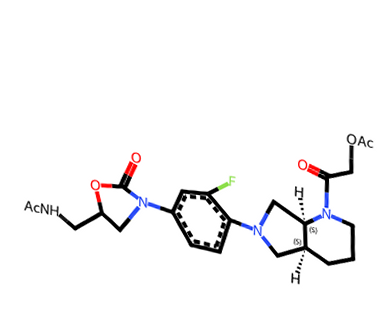 CC(=O)NCC1CN(c2ccc(N3C[C@@H]4CCCN(C(=O)COC(C)=O)[C@@H]4C3)c(F)c2)C(=O)O1